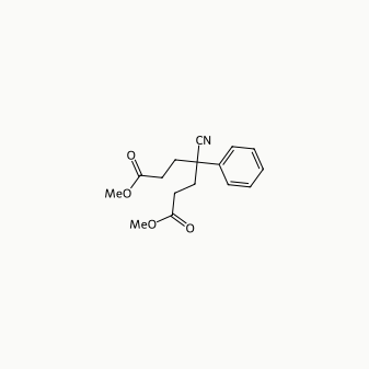 COC(=O)CCC(C#N)(CCC(=O)OC)c1ccccc1